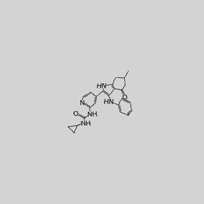 CC1CC(=O)c2c([nH]c(-c3ccnc(NC(=O)NC4CC4)c3)c2Nc2ccccc2)C1